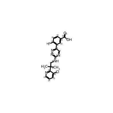 CC(C)(CNc1ncc(-c2cc(C(=O)O)ccc2F)nn1)c1ncccc1Cl